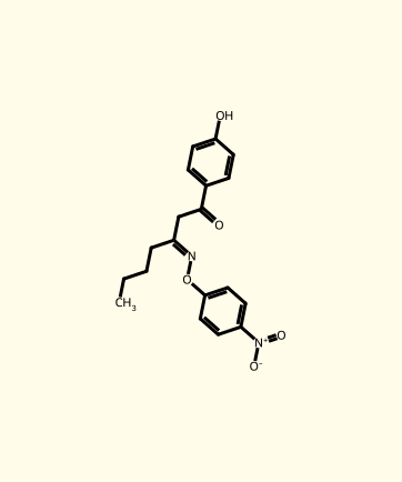 CCCCC(CC(=O)c1ccc(O)cc1)=NOc1ccc([N+](=O)[O-])cc1